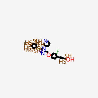 OC(S)(S)C#Cc1ccc(OCc2nnc(SC3(S)C(S)(S)C(S)(S)C(S)(S)C3(S)S)n2-c2cccnc2)cc1F